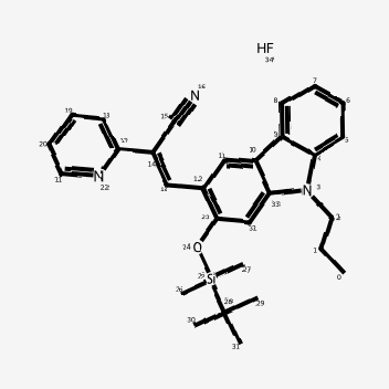 CCCn1c2ccccc2c2cc(C=C(C#N)c3ccccn3)c(O[Si](C)(C)C(C)(C)C)cc21.F